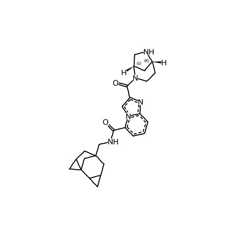 O=C(NCC12CC3CC3C3(CC3C1)C2)c1cccc2nc(C(=O)N3CC[C@@H]4C[C@H]3CN4)cn12